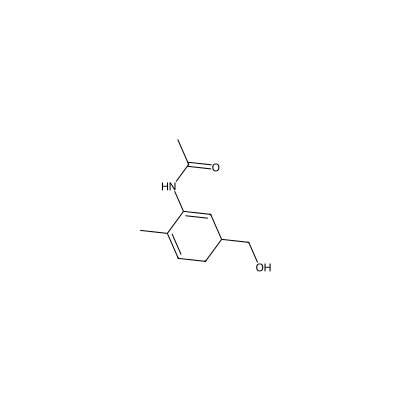 CC(=O)NC1=CC(CO)CC=C1C